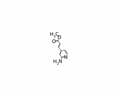 COC(=O)C=Cc1ccnc(N)c1